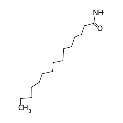 CCCCCCCCCCCCCCC([NH])=O